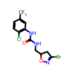 O=C(NCC1CC(Br)=NO1)Nc1cc(C(F)(F)F)ccc1Cl